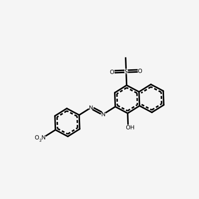 CS(=O)(=O)c1cc(N=Nc2ccc([N+](=O)[O-])cc2)c(O)c2ccccc12